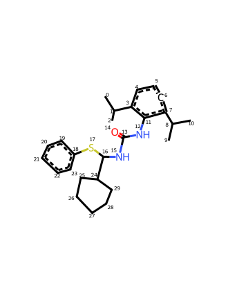 CC(C)c1cccc(C(C)C)c1NC(=O)NC(Sc1ccccc1)C1CCCCC1